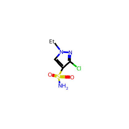 CCn1cc(S(N)(=O)=O)c(Cl)n1